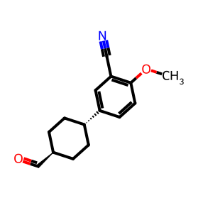 COc1ccc([C@H]2CC[C@H](C=O)CC2)cc1C#N